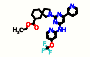 CCOC(=O)C1CCCC2(CCN(c3nc(Nc4cc(OC(F)(F)F)ccn4)cc(-c4cccnc4)n3)C2)C1